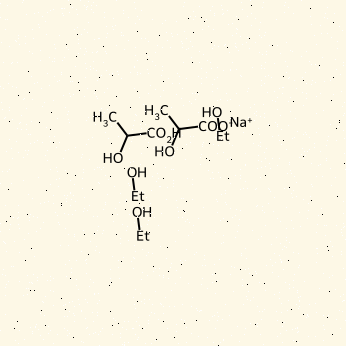 CC(O)C(=O)O.CC(O)C(=O)[O-].CCO.CCO.CCO.[Na+]